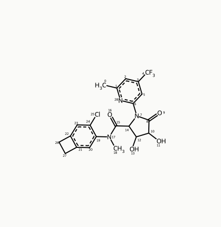 Cc1cc(C(F)(F)F)cc(N2C(=O)C(O)C(O)C2C(=O)N(C)c2cc3c(cc2Cl)CC3)n1